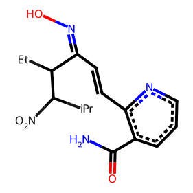 CCC(C(/C=C/c1ncccc1C(N)=O)=N\O)C(C(C)C)[N+](=O)[O-]